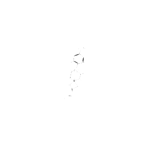 N#Cc1ccc(N2CCC3(CC2)CC(OC(F)(F)F)C3)cc1